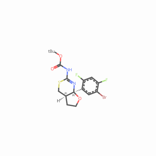 CC(C)(C)OC(=O)NC1=N[C@@]2(c3cc(Br)c(F)cc3F)OCC[C@H]2CS1